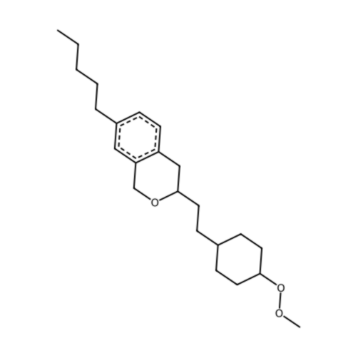 CCCCCc1ccc2c(c1)COC(CCC1CCC(OOC)CC1)C2